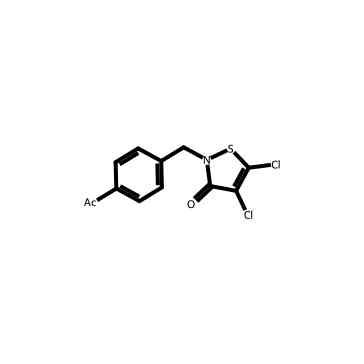 CC(=O)c1ccc(Cn2sc(Cl)c(Cl)c2=O)cc1